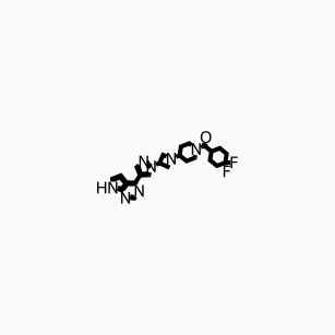 O=C(C1CCC(F)(F)CC1)N1CCC(N2CC(n3cc(-c4ncnc5[nH]ccc45)cn3)C2)CC1